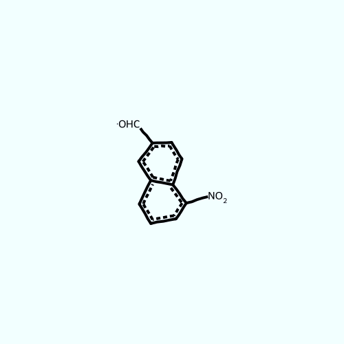 O=[C]c1ccc2c([N+](=O)[O-])cccc2c1